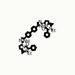 CCN(C1CC1)[C@@H](C(=O)N1CCC[C@H]1c1ncc(-c2ccc(-c3ccc(-c4cnc([C@@H]5CCCN5C(=O)[C@@H](c5ccccc5)N(CC)C5CC5)[nH]4)cc3)cc2)[nH]1)c1ccccc1